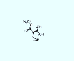 COC(=O)C(CO)=C(O)O